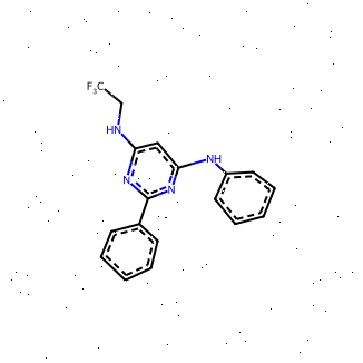 FC(F)(F)CNc1cc(Nc2ccccc2)nc(-c2ccccc2)n1